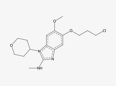 CNc1nc2cc(OCCCCl)c(OC)cc2n1C1CCOCC1